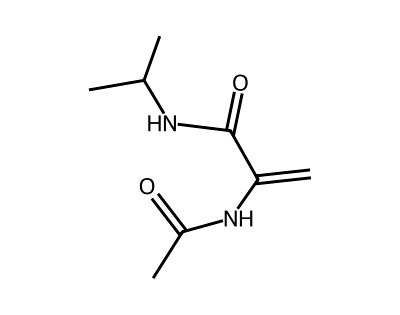 C=C(NC(C)=O)C(=O)NC(C)C